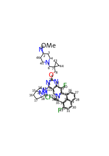 CON=C1CCN(CC2(COc3nc(N4CC5CCC(C4)N5)c4cnc(-c5cccc6ccc(F)c(C#CCl)c56)c(F)c4n3)CC2)CC1